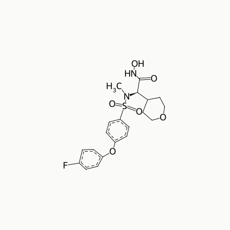 CN([C@@H](C(=O)NO)C1CCOCC1)S(=O)(=O)c1ccc(Oc2ccc(F)cc2)cc1